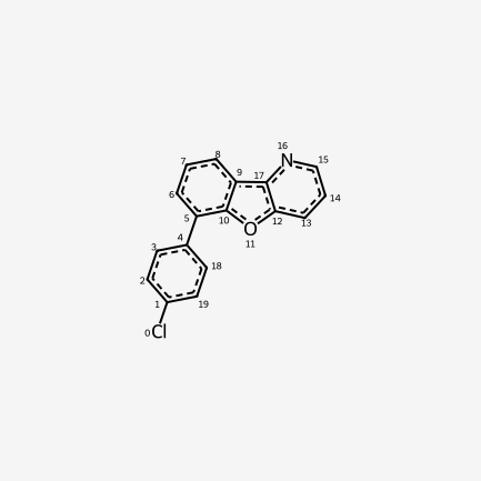 Clc1ccc(-c2cccc3c2oc2cccnc23)cc1